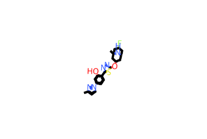 Cc1ccn(-c2ccc(-c3nnc(OC4CC5CC(F)CC(C)(C4)N5)s3)c(O)c2)n1